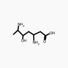 CC(N)C(O)CC(N)CC(=O)O